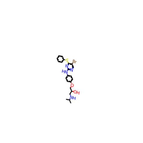 CC(C)NCC(O)COc1ccc(Nc2ncc(Br)c(Sc3ccccc3)n2)cc1